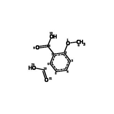 COc1ccccc1C(=O)O.O=CO